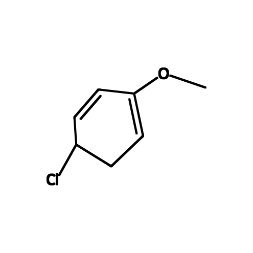 COC1=CCC(Cl)C=C1